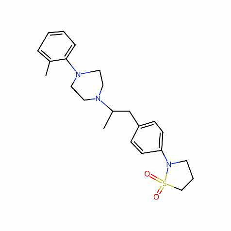 Cc1ccccc1N1CCN(C(C)Cc2ccc(N3CCCS3(=O)=O)cc2)CC1